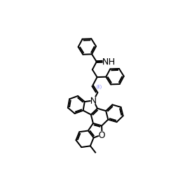 CC1CC=Cc2c1oc1c3ccccc3c3c(c4ccccc4n3/C=C/C(CC(=N)c3ccccc3)c3ccccc3)c21